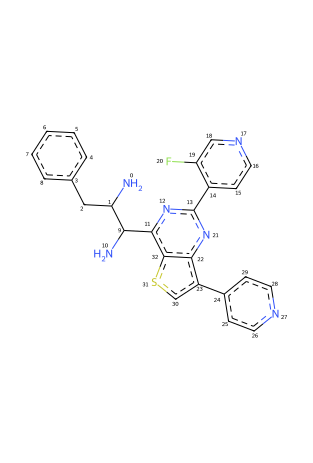 NC(Cc1ccccc1)C(N)c1nc(-c2ccncc2F)nc2c(-c3ccncc3)csc12